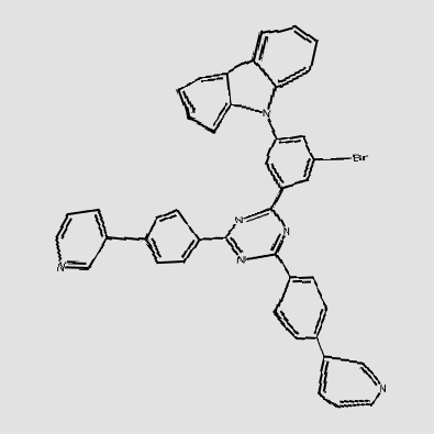 Brc1cc(-c2nc(-c3ccc(-c4cccnc4)cc3)nc(-c3ccc(-c4cccnc4)cc3)n2)cc(-n2c3ccccc3c3ccccc32)c1